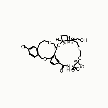 CC[C@@H]1CCCC[C@](O)(CO)[C@@H]2CC[C@H]2CN2CCCCc3cc(Cl)ccc3COc3ccc(cc32)C(=O)NS1(=O)=O